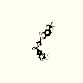 O=C1NC2(CO1)CC(C(=O)N1CC(OCc3ccc(C(F)(F)F)cc3Cl)C1)C2